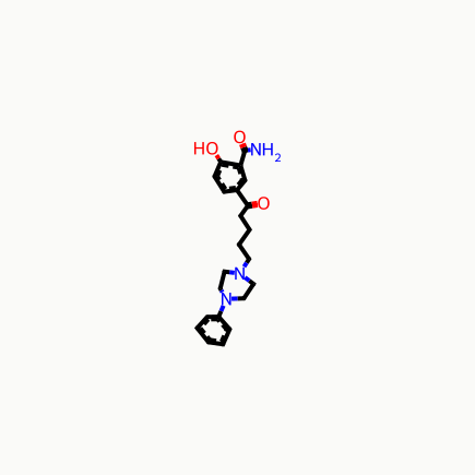 NC(=O)c1cc(C(=O)CCCCN2CCN(c3ccccc3)CC2)ccc1O